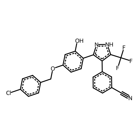 N#Cc1cccc(-c2c(-c3ccc(OCc4ccc(Cl)cc4)cc3O)n[nH]c2C(F)(F)F)c1